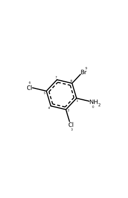 Nc1c(Cl)cc(Cl)cc1Br